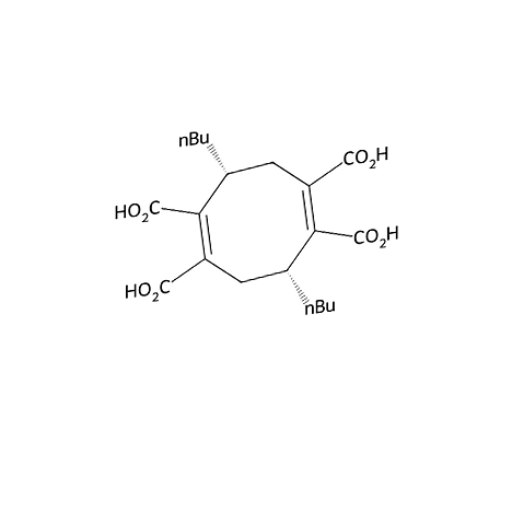 CCCC[C@@H]1C/C(C(=O)O)=C(/C(=O)O)[C@H](CCCC)C/C(C(=O)O)=C\1C(=O)O